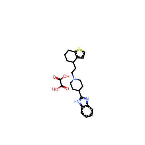 O=C(O)C(=O)O.c1ccc2[nH]c(C3CCN(CCC4CCCc5sccc54)CC3)nc2c1